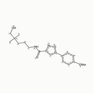 COc1ccc(-c2cc(C(=O)NCCCC(C)(C)CO)no2)cc1